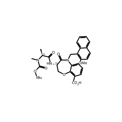 COc1ccc2ccccc2c1CN1C(=O)[C@@H](NC(=O)[C@H](C)N(C)C(=O)OC(C)(C)C)COc2c(C(=O)O)cccc21